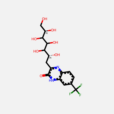 O=c1[nH]c2cc(C(F)(F)F)ccc2nc1C[C@@H](O)C(O)C(O)C(O)[C@H](O)CO